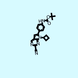 CC(C)(C)OC(=O)Nc1ccc(-c2cc3cnc(C#N)nc3n2C2CCC2)cc1